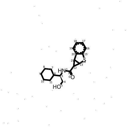 O=C(N[C@@H](CO)C1CCCCC1)C1C2Sc3ccccc3C21